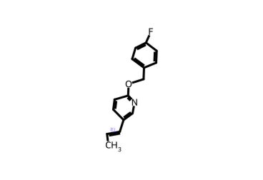 C/C=C/c1ccc(OCc2ccc(F)cc2)nc1